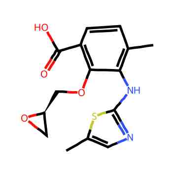 Cc1cnc(Nc2c(C)ccc(C(=O)O)c2OC[C@H]2CO2)s1